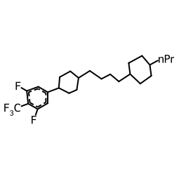 CCCC1CCC(CCCCC2CCC(c3cc(F)c(C(F)(F)F)c(F)c3)CC2)CC1